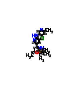 C=CCC[C@@H](N[S@+]([O-])C(C)(C)C)c1cnc(Nc2ccc(C)nc2)c(Cl)c1